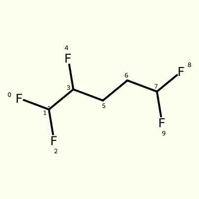 F[C](F)C(F)CCC(F)F